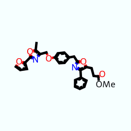 COC(=O)CCc1oc(Cc2ccc(OCc3nc(-c4ccco4)oc3C)cc2)nc1-c1ccccc1